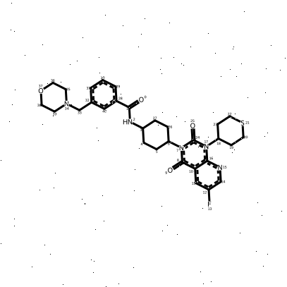 O=C(NC1CCC(n2c(=O)c3cc(F)cnc3n(C3CCSCC3)c2=O)CC1)c1cccc(CN2CCOCC2)c1